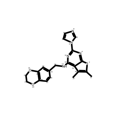 Cc1sc2nc(-n3ccnc3)nc(NCc3ccc4c(c3)OCCO4)c2c1C